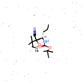 CCC[C@H](NC(=O)OC(C)(C)C)C(C#N)(O[SiH](C)C)C(C)(C)C